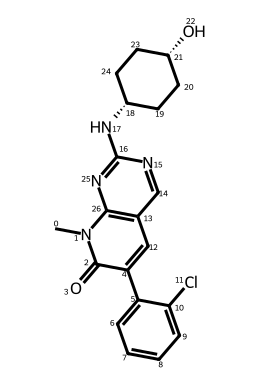 Cn1c(=O)c(-c2ccccc2Cl)cc2cnc(N[C@H]3CC[C@@H](O)CC3)nc21